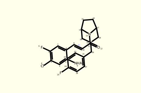 CC(=O)Nc1cc(Cl)c(F)cc1/C=C/C(=O)N1C2CCC1CN(Cc1ccc(F)cc1)C2